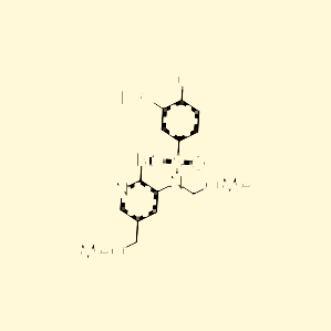 COCc1cnc(Br)c(N(COC)S(=O)(=O)c2ccc(Cl)c(C(F)(F)F)c2)c1